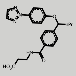 CCCC(Oc1ccc(-n2nccn2)cc1)c1ccc(C(=O)NCCC(=O)O)cc1